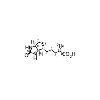 [2H]C(CCC[C@@H]1SC[C@@H]2NC(=O)N[C@@H]21)C(=O)O